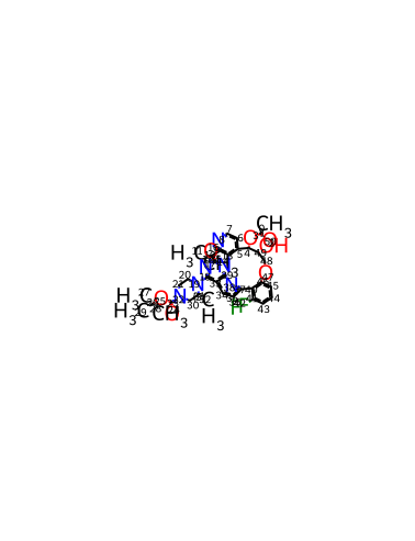 CC(=O)OC1c2ccnc(C(C)C)c2-n2c(=O)nc(N3CCN(C(=O)OC(C)(C)C)C[C@@H]3C)c3cc(F)c(nc32)-c2c(F)cccc2OCC1O